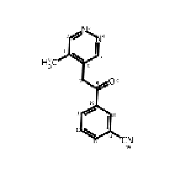 Cc1cnncc1CC(=O)c1cccc(C#N)c1